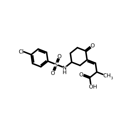 CC(C=C1CC(NS(=O)(=O)c2ccc(Cl)cc2)CCC1=O)C(=O)O